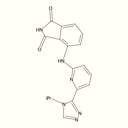 CC(C)n1cnnc1-c1cccc(Nc2cccc3c2C(=O)NC3=O)n1